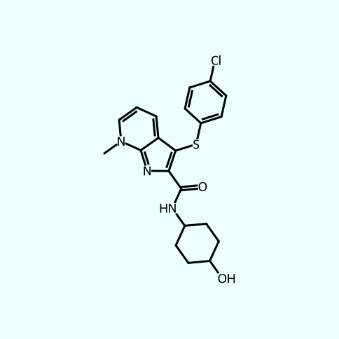 Cn1cccc2c(Sc3ccc(Cl)cc3)c(C(=O)NC3CCC(O)CC3)nc1-2